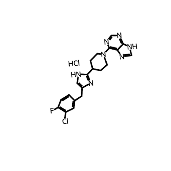 Cl.Fc1ccc(Cc2c[nH]c(C3CCN(c4ncnc5[nH]cnc45)CC3)n2)cc1Cl